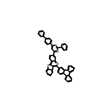 c1ccc(-c2ccc(-c3cc(-c4ccc5c(c4)nc(-c4ccc6c7ccccc7c7ccccc7c6c4)c4c6ccccc6sc54)nc(-c4ccccc4)n3)cc2)cc1